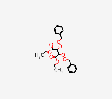 CCOC(=O)C(OOCc1ccccc1)C(OOCc1ccccc1)C(=O)OCC